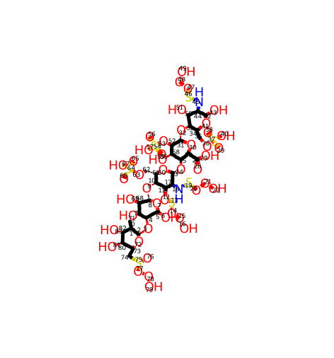 CC1[C@@H](O[C@@H]2C(O)O[C@@H](O[C@H]3C(OSOOO)C(NSOOO)[C@@H](O[C@@H]4C(C(=O)O)O[C@@H](O[C@@H]5C(COS(=O)(=O)O)OC(O)C(NSOOO)[C@H]5O)C(OS(=O)(=O)O)[C@@H]4O)O[C@H]3COS(=O)(=O)O)C(O)[C@H]2O)OC(CS(=O)OOO)[C@@H](O)[C@@H]1O